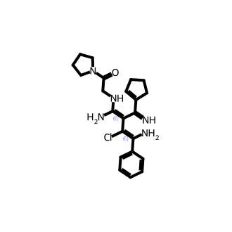 N=C(C1=CCCC1)C(=C(/N)NCC(=O)N1CCCC1)/C(Cl)=C(\N)c1ccccc1